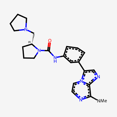 CNc1nccn2c(-c3cccc(NC(=O)N4CCC[C@@H]4CN4CCCC4)c3)cnc12